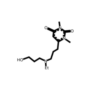 CCN(CCCO)CCCc1cc(=O)n(C)c(=O)n1C